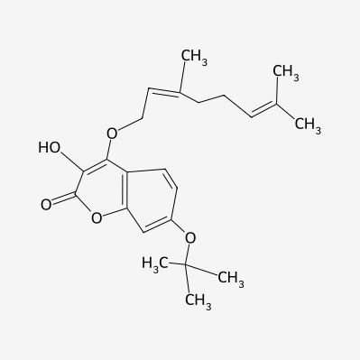 CC(C)=CCCC(C)=CCOc1c(O)c(=O)oc2cc(OC(C)(C)C)ccc12